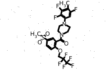 Cc1c(F)cc(N2CCN(C(=O)c3cc(S(C)(=O)=O)ccc3OCC(F)(F)C(F)(F)F)CC2)c(F)c1F